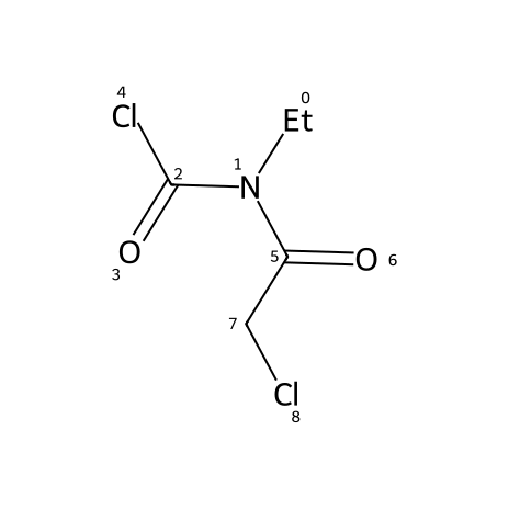 CCN(C(=O)Cl)C(=O)CCl